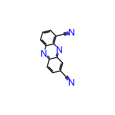 N#Cc1ccc2nc3cccc(C#N)c3nc2c1